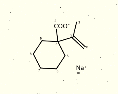 C=C(C)C1(C(=O)[O-])CCCCC1.[Na+]